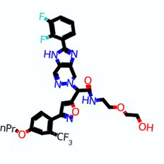 CCCOc1ccc(-c2cc(C(C(=O)NCCOCCO)N3Cc4nc(-c5cccc(F)c5F)[nH]c4C=N3)on2)c(C(F)(F)F)c1